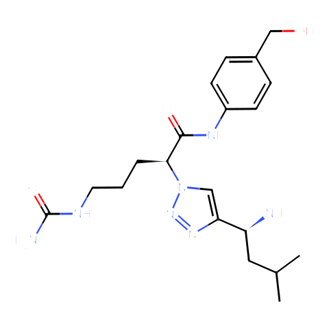 CC(C)C[C@H](N)c1cn([C@@H](CCCNC(N)=O)C(=O)Nc2ccc(CO)cc2)nn1